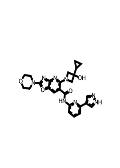 O=C(Nc1cccc(-c2cn[nH]c2)n1)c1cc2oc(N3CCOCC3)nc2nc1N1CC(O)(C2CC2)C1